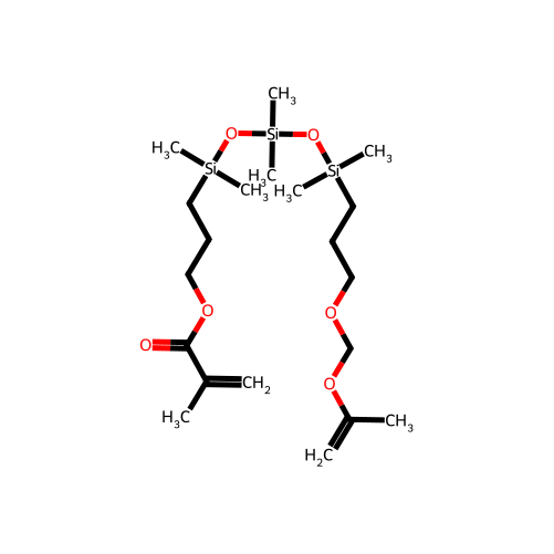 C=C(C)OCOCCC[Si](C)(C)O[Si](C)(C)O[Si](C)(C)CCCOC(=O)C(=C)C